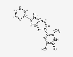 Cc1[nH]c(=O)c(C#N)cc1-c1ccc2[nH]c(-c3ccccc3)cc2c1